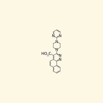 O=C(O)c1c(N2CCN(c3ncccn3)CC2)nnc2c1ccc1ccccc12